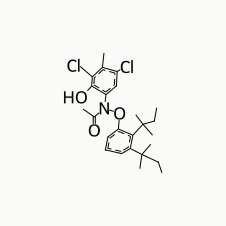 CCC(C)(C)c1cccc(ON(C(C)=O)c2cc(Cl)c(C)c(Cl)c2O)c1C(C)(C)CC